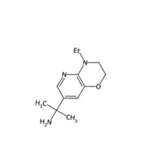 CCN1CCOc2cc(C(C)(C)N)cnc21